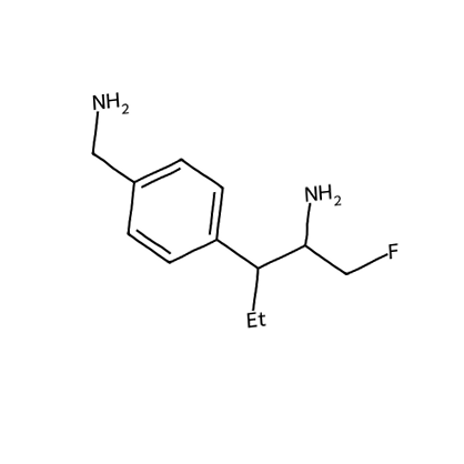 CCC(c1ccc(CN)cc1)C(N)CF